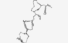 NC(=O)C1CCCN1C(=O)Cn1ncc(N2CCNCC2)n1